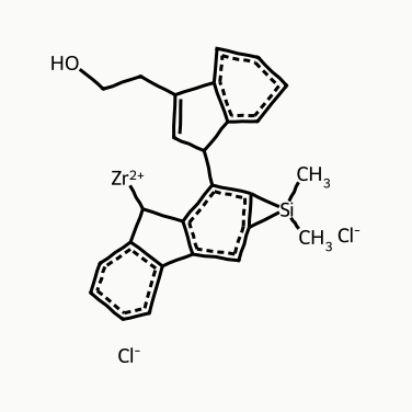 C[Si]1(C)c2cc3c(c(C4C=C(CCO)c5ccccc54)c21)[CH]([Zr+2])c1ccccc1-3.[Cl-].[Cl-]